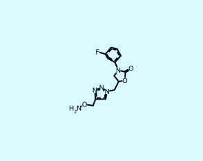 NOCc1cn(CC2CN(c3cccc(F)c3)C(=O)O2)nn1